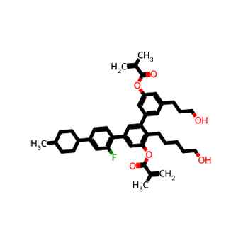 C=C(C)C(=O)Oc1cc(CCCO)cc(-c2cc(-c3ccc(C4CCC(C)CC4)cc3F)cc(OC(=O)C(=C)C)c2CCCCCO)c1